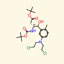 Cc1ccc(N(CCCl)CCCl)cc1C(O)[C@@H](CC(=O)OC(C)(C)C)NC(=O)OC(C)(C)C